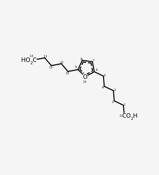 O=C(O)CCCCCc1ccc(CCCCC(=O)O)o1